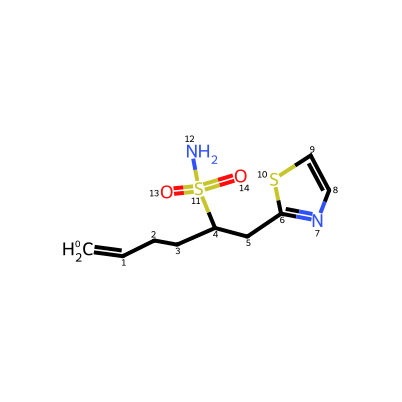 C=CCCC(Cc1nccs1)S(N)(=O)=O